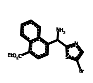 CCOC(=O)c1ccc(C(N)c2ncc(Br)s2)c2ccccc12